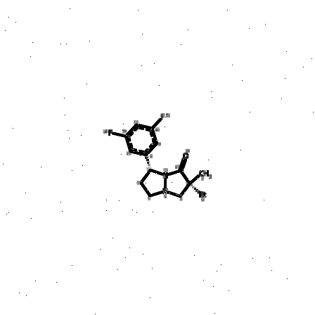 CC[C@]1(C)CN2CC[C@H](c3cc(F)cc(F)c3)N2C1=O